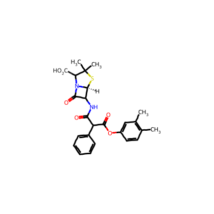 Cc1ccc(OC(=O)C(C(=O)NC2C(=O)N3C(C(=O)O)C(C)(C)S[C@@H]23)c2ccccc2)cc1C